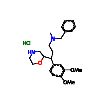 COc1ccc(C(CCN(C)Cc2ccccc2)C2CNCCO2)cc1OC.Cl